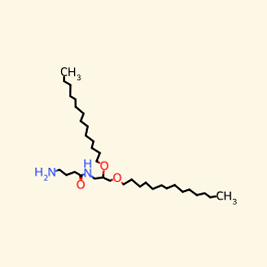 CCCCCCCCCCCCCCOCC(CNC(=O)CCCN)OCCCCCCCCCCCCCC